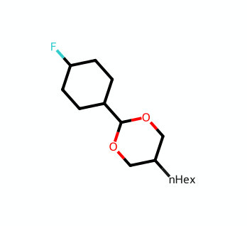 CCCCCCC1COC(C2CCC(F)CC2)OC1